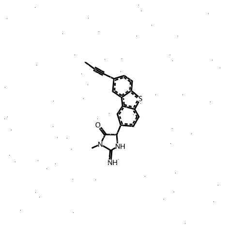 CC#Cc1ccc2sc3ccc(C4NC(=N)N(C)C4=O)cc3c2c1